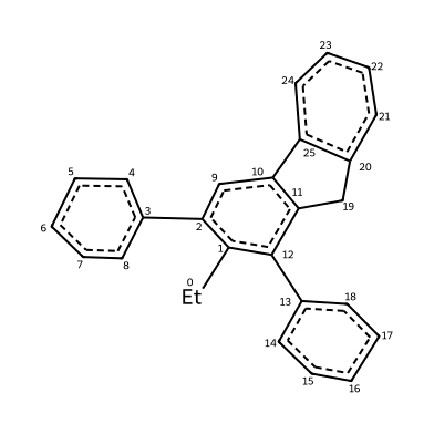 CCc1c(-c2ccccc2)cc2c(c1-c1ccccc1)Cc1ccccc1-2